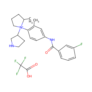 Cc1cc(NC(=O)c2cccc(F)c2)ccc1[N+]1(C2CCNC2)CCCC1C.O=C(O)C(F)(F)F